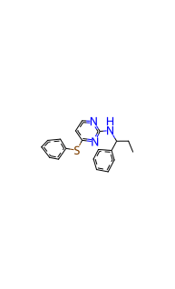 CCC(Nc1nccc(Sc2ccccc2)n1)c1ccccc1